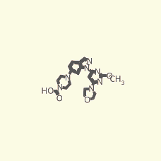 COc1nc(N2CCOCC2)cc(-n2ncc3ccc(N4CCN(C(=O)O)CC4)cc32)n1